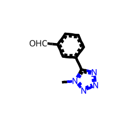 Cn1nnnc1-c1cccc(C=O)c1